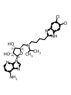 CC(C)N(CCCCc1nc2cc(Cl)c(Cl)cc2[nH]1)C[C@H]1O[C@@H](n2cnc3c(N)ccnc32)[C@H](O)[C@@H]1O